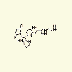 CNCCn1cc(-c2cnc3ccc(-c4c(-c5cc(Cl)ccc5F)[nH]c5cccnc45)nc3c2)cn1